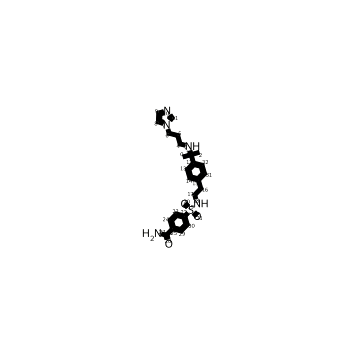 CC(C)(NCCCn1ccnc1)c1ccc(CCNS(=O)(=O)c2ccc(C(N)=O)cc2)cc1